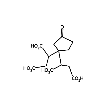 O=C(O)CC(C(=O)O)C1(C(CC(=O)O)C(=O)O)CCC(=O)C1